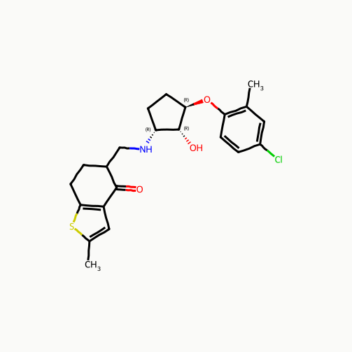 Cc1cc2c(s1)CCC(CN[C@@H]1CC[C@@H](Oc3ccc(Cl)cc3C)[C@@H]1O)C2=O